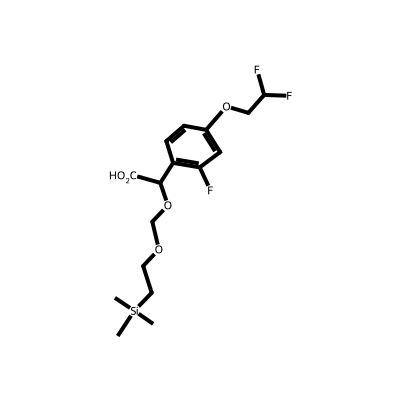 C[Si](C)(C)CCOCOC(C(=O)O)c1ccc(OCC(F)F)cc1F